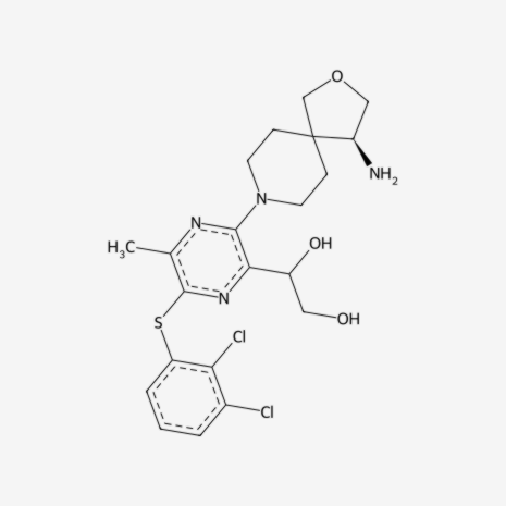 Cc1nc(N2CCC3(CC2)COC[C@H]3N)c(C(O)CO)nc1Sc1cccc(Cl)c1Cl